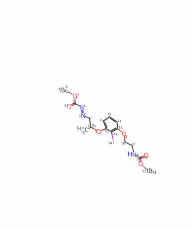 C[C@@H](CN=NC(=O)OC(C)(C)C)Oc1cccc(OCCNC(=O)OC(C)(C)C)c1I